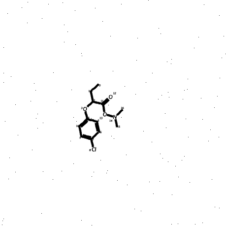 CCC(Oc1ccc(Cl)cc1)C(=O)ON(C)C